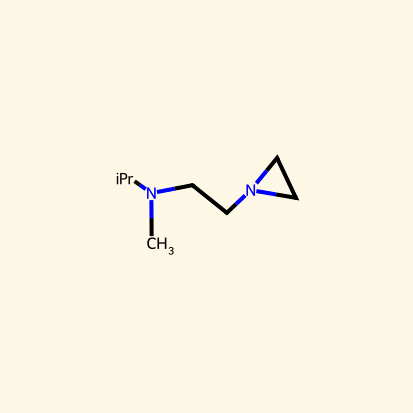 CC(C)N(C)CCN1CC1